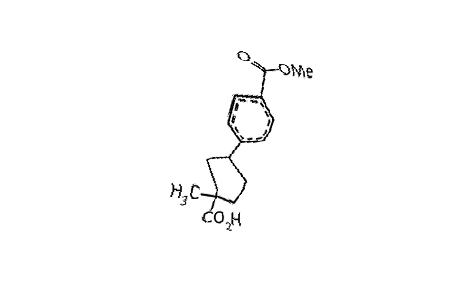 COC(=O)c1ccc(C2CCC(C)(C(=O)O)C2)cc1